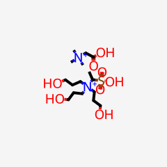 CC([N+](CCCO)(CCCO)CCCO)S(=O)(=O)O.C[N+](C)(C)CC(=O)O